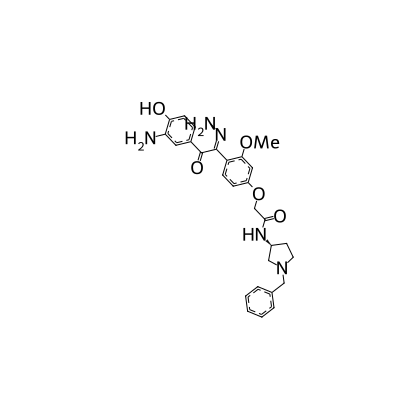 COc1cc(OCC(=O)N[C@H]2CCN(Cc3ccccc3)C2)ccc1C(=NN)C(=O)c1ccc(O)c(N)c1